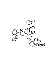 CCOc1ncccc1-c1ccc2c(n1)CN(C(=O)[C@@H]1CCCN1)C[C@]21CCN(c2cccc(OC)c2C(F)(F)F)C[C@H]1CC